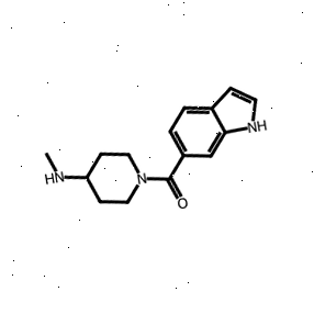 CNC1CCN(C(=O)c2ccc3cc[nH]c3c2)CC1